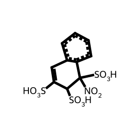 O=[N+]([O-])C1(S(=O)(=O)O)c2ccccc2C=C(S(=O)(=O)O)C1S(=O)(=O)O